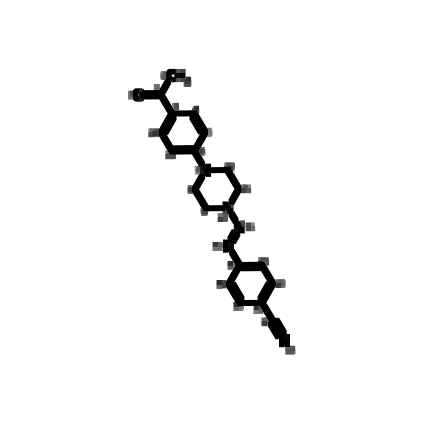 CC(=O)c1ccc(N2CCN(N=Nc3ccc(C#N)cc3)CC2)cc1